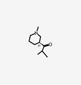 CC(C)C(=O)[C@H]1CCCN(C)C1